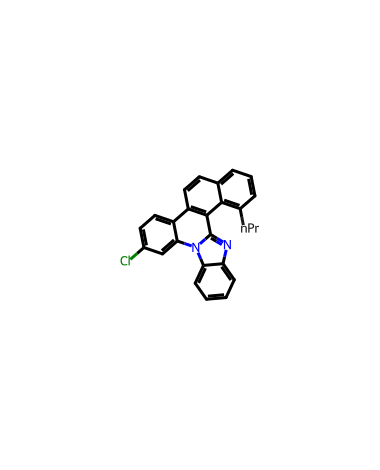 CCCc1cccc2ccc3c4ccc(Cl)cc4n4c5ccccc5nc4c3c12